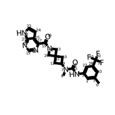 Cc1cc(NC(=O)N(C)C2CC3(C2)CN(C(=O)c2ncnc4[nH]ccc24)C3)cc(C(F)(F)F)c1